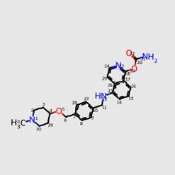 CN1CCC(OCc2ccc(CNc3cccc4c(OC(N)=O)nccc34)cc2)CC1